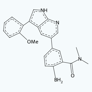 Bc1ccc(-c2cnc3[nH]cc(-c4ccccc4OC)c3c2)cc1C(=O)N(C)C